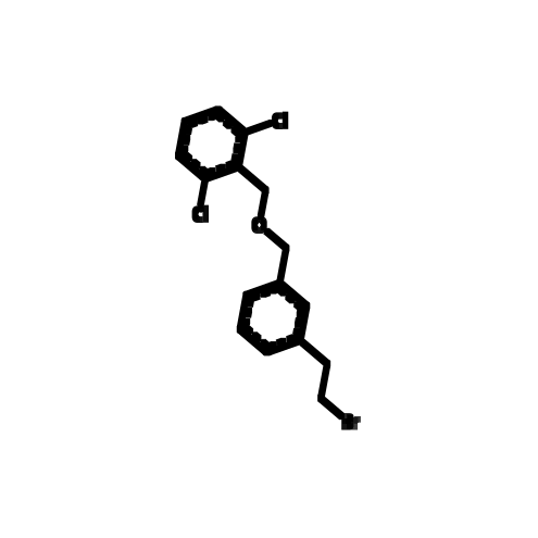 Clc1cccc(Cl)c1COCc1cccc(CCBr)c1